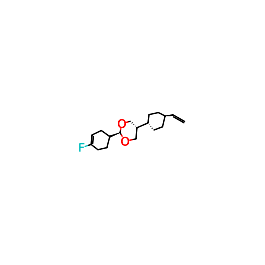 C=C[C@H]1CC[C@H]([C@H]2CO[C@H](C3CC=C(F)CC3)OC2)CC1